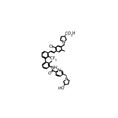 Cc1cc(/C=C/c2cccc(-c3cccc(NC(=O)c4ccc(CN5CC[C@@H](O)C5)cn4)c3C)c2C(F)(F)F)c(Cl)cc1CN1CC[C@@H](C(=O)O)C1